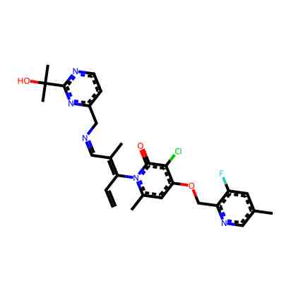 C=C/C(=C(C)\C=N/Cc1ccnc(C(C)(C)O)n1)n1c(C)cc(OCc2ncc(C)cc2F)c(Cl)c1=O